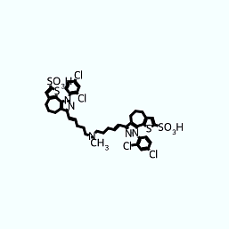 CN(CCC/C=C/c1nn(-c2ccc(Cl)cc2Cl)c2c1CCCc1cc(S(=O)(=O)O)sc1-2)CCC/C=C/c1nn(-c2ccc(Cl)cc2Cl)c2c1CCCc1cc(S(=O)(=O)O)sc1-2